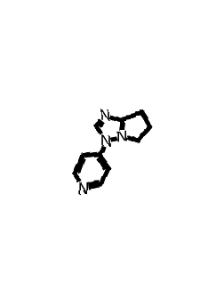 C1=NC2CCCN2N1c1ccncc1